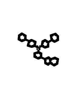 c1ccc(-c2ccc(N(c3ccc(-c4ccccc4)cc3)c3cccc(-c4ccc5ccccc5c4)c3)cc2)cc1